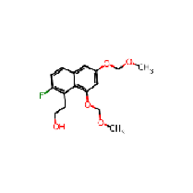 COCOc1cc(OCOC)c2c(CCO)c(F)ccc2c1